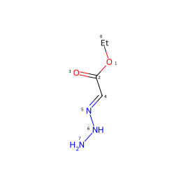 CCOC(=O)C=NNN